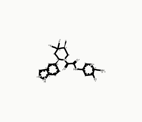 CCc1cc(NC(=O)C(=O)N2C[C@H](C)C(F)(F)C[C@@H]2c2ccc3[nH]ncc3c2)cnc1N